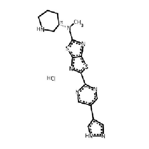 CN(c1nc2sc(-c3ncc(-c4cn[nH]c4)cn3)nc2s1)[C@H]1CCCNC1.Cl